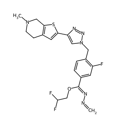 C=N/N=C(\OCC(F)F)c1ccc(Cn2cc(-c3cc4c(s3)CN(C)CC4)nn2)c(F)c1